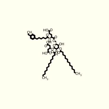 CCCCCCCCCCCCCC(=O)N[C@H]1[C@@H](OC(CC(=O)O)CC(=O)O)O[C@H](COC(=O)C(CCC(=O)O)NC(=O)CCCCCc2ccc(CC)cc2)[C@@H](O)[C@@H]1OC(=O)CCCCCCCCCCCCC